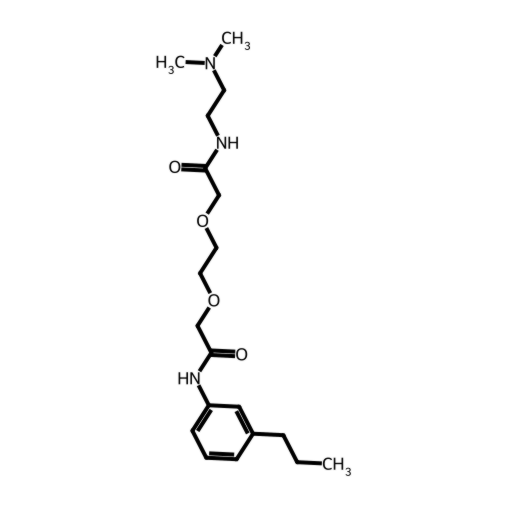 CCCc1cccc(NC(=O)COCCOCC(=O)NCCN(C)C)c1